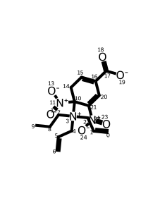 C=CC[N+](CC=C)(CCC)C1([N+](=O)[O-])CC=C(C(=O)[O-])C=C1[N+](=O)[O-]